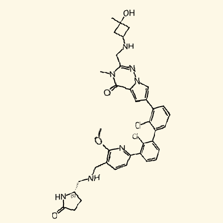 COc1nc(-c2cccc(-c3cccc(-c4cc5c(=O)n(C)c(CNC6CC(C)(O)C6)nn5c4)c3Cl)c2Cl)ccc1CNC[C@@H]1CCC(=O)N1